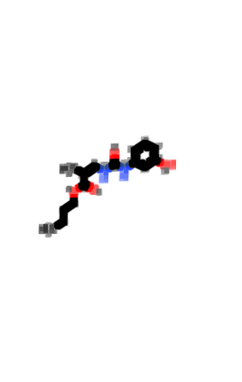 CCCCOC(=O)C(C)=CNC(=O)Nc1cccc(O)c1